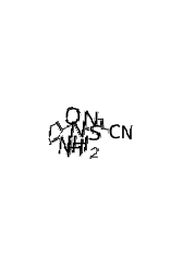 N#Cc1cnc(NC(=O)c2ccccc2N)s1